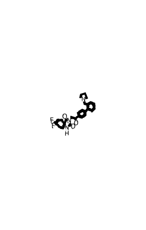 O=C(CN1C(=O)NC2(CCC(F)(F)CC2)C1=O)c1ccc(-c2ccccc2CN2CCCC2)cc1